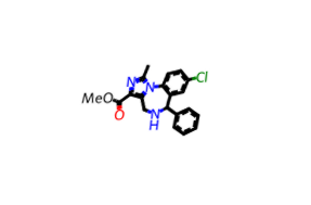 COC(=O)c1nc(C)n2c1CNC(c1ccccc1)c1cc(Cl)ccc1-2